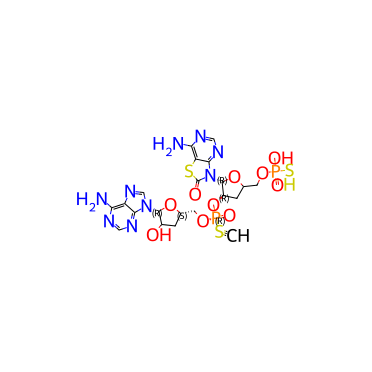 C#S[P@](=O)(OC[C@@H]1CC(O)[C@H](n2cnc3c(N)ncnc32)O1)O[C@@H]1CC(COP(=O)(O)S)O[C@H]1n1c(=O)sc2c(N)ncnc21